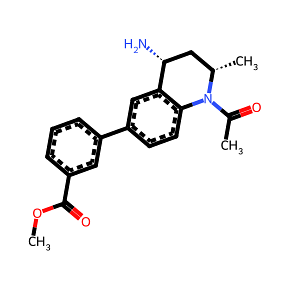 COC(=O)c1cccc(-c2ccc3c(c2)[C@H](N)C[C@H](C)N3C(C)=O)c1